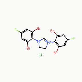 Fc1cc(Br)c(N2C=[N+](c3c(Br)cc(F)cc3Br)CC2)c(Br)c1.[Cl-]